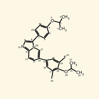 CC(C)Oc1ccc(-c2cnc3ccc(-c4cc(F)c(OC(C)C)c(F)c4)cn23)cc1